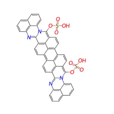 O=S(=O)(O)OC1=c2ccc3c4ccc5c6c(ccc(c7ccc(c2c73)C2=Nc3cccc7cccc(c37)N21)c64)C1=Nc2cccc3cccc(c23)N1C=5OS(=O)(=O)O